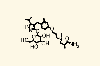 Cc1cc(OCCCNCC(C)C(N)=O)ccc1Cc1c(OC2OC(CO)[C@@H](O)C(O)[C@H]2O)n[nH]c1C(C)C